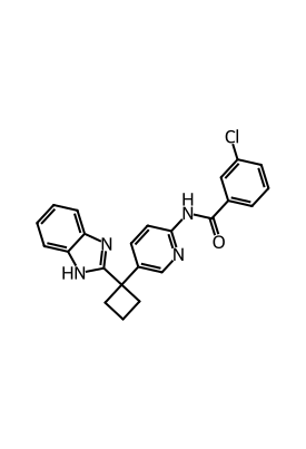 O=C(Nc1ccc(C2(c3nc4ccccc4[nH]3)CCC2)cn1)c1cccc(Cl)c1